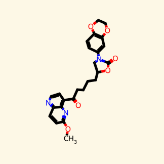 COc1ccc2nccc(C(=O)CCCCC3CN(c4ccc5c(c4)OCCO5)C(=O)O3)c2n1